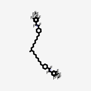 CC(CCCCCCCCC1CCC(/C(F)=C(\F)c2cc(F)c(S(F)(F)(F)(F)F)c(F)c2)CC1)CCCCCCCCC1CCC(/C(F)=C(\F)c2cc(F)c(S(F)(F)(F)(F)F)c(F)c2)CC1